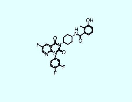 Cc1c(O)cccc1C(=O)N[C@H]1CC[C@@H](n2c(=O)c3cc(F)cnc3n(-c3ccc(F)c(F)c3)c2=O)CC1